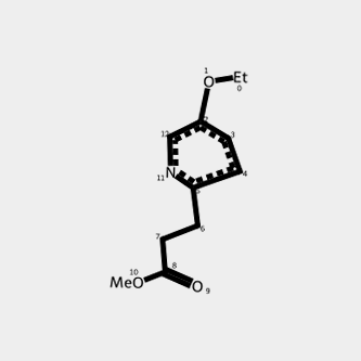 CCOc1ccc(CCC(=O)OC)nc1